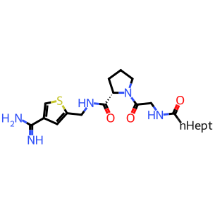 CCCCCCCC(=O)NCC(=O)N1CCC[C@H]1C(=O)NCc1cc(C(=N)N)cs1